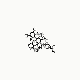 C=CC(=O)N1CCN2c3nc(=O)n(-c4c(C)ccnc4C(C)C)c4nc(-c5c(N)c(Cl)cc(Cl)c5F)c(Cl)c(c34)OCCC2C1